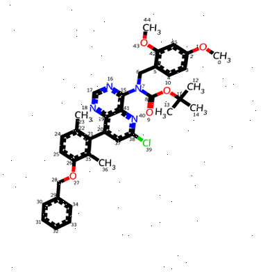 COc1ccc(CN(C(=O)OC(C)(C)C)c2ncnc3c(-c4c(C)ccc(OCc5ccccc5)c4C)cc(Cl)nc23)c(OC)c1